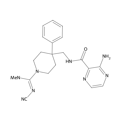 CN/C(=N\C#N)N1CCC(CNC(=O)c2nccnc2N)(c2ccccc2)CC1